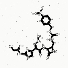 CON=C(C(=O)NC1C(=O)NC1CNC(=O)OCc1ccc([N+](=O)[O-])cc1)c1csc(NC(=O)CCl)n1